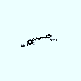 COc1ccc(OCCCCCCCc2nccn2CC(=O)O)c(Cl)c1